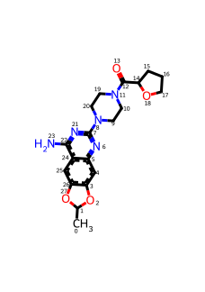 CC1Oc2cc3nc(N4CCN(C(=O)C5CCCO5)CC4)nc(N)c3cc2O1